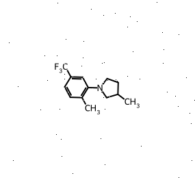 Cc1ccc(C(F)(F)F)cc1N1CCC(C)C1